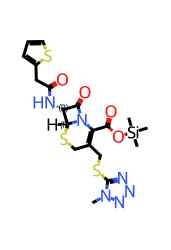 Cn1nnnc1SCC1=C(C(=O)O[Si](C)(C)C)N2C(=O)[C@@H](NC(=O)Cc3cccs3)[C@H]2SC1